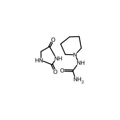 NC(=O)NN1CCCCC1.O=C1CNC(=O)N1